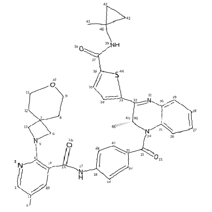 Cc1cnc(N2CC3(CCOCC3)C2)c(C(=O)Nc2ccc(C(=O)N3c4ccccc4N=C(c4ccc(C(=O)NC5(C)CC5)s4)[C@H]3C)cc2)c1